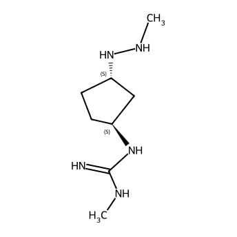 CNN[C@H]1CC[C@H](NC(=N)NC)C1